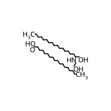 CCCCCCCCCCCCCCCCC(CO)NCCO.CCCCCCCCCCCCCCCCCC(=O)O